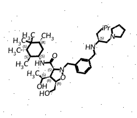 CC(C)C[C@@H](CN1CCCC1)NCc1cccc(CN2O[C@@H](CO)[C@@H]([C@H](C)O)[C@H]2C(=O)N[C@H]2C[C@@H](C)C(C)(C)[C@@H](C)[C@@H]2C)c1